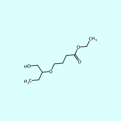 CCOC(=O)CCCOC(CC)CO